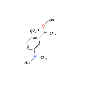 CCCCOC(C)c1cc(N(C)C)ccc1C(=O)O